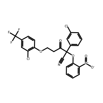 N#CC(Oc1ccccc1[N+](=O)[O-])(C(=O)CCOc1ccc(C(F)(F)F)cc1Cl)c1cccc(Cl)c1